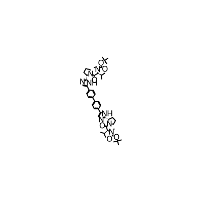 CC(C)[C@@H](C(=O)N1CCC[C@H]1c1ncc(-c2ccc(-c3ccc(-c4cnc([C@@H]5CCCN5C(=O)[C@H](C(C)C)N(C)C(=O)OC(C)(C)C)[nH]4)cc3)cc2)[nH]1)N(C)C(=O)OC(C)(C)C